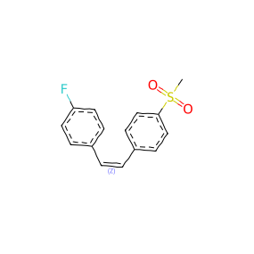 CS(=O)(=O)c1ccc(/C=C\c2ccc(F)cc2)cc1